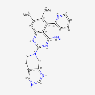 COc1cc2nc(N3CCc4cncnc4C3)nc(N)c2c(-c2ccccn2)c1OC